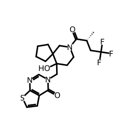 C[C@H](CC(F)(F)F)C(=O)N1CCC(O)(Cn2cnc3sccc3c2=O)C2(CCCC2)C1